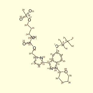 CC(C)(C)[Si](C)(C)Oc1ccc2c(c1)c(-c1csc(COC(=O)NCCCOS(C)(=O)=O)n1)nn2C1CCCCO1